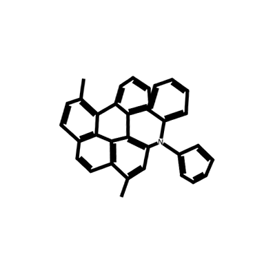 Cc1cc(N(c2ccccc2)c2ccccc2)c2c3ccccc3c3c(C)ccc4ccc1c2c43